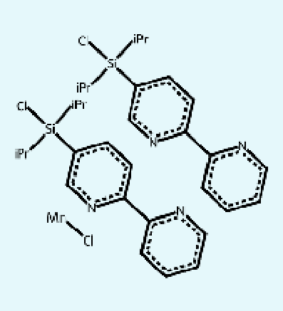 CC(C)[Si](Cl)(c1ccc(-c2ccccn2)nc1)C(C)C.CC(C)[Si](Cl)(c1ccc(-c2ccccn2)nc1)C(C)C.[Cl][Mn]